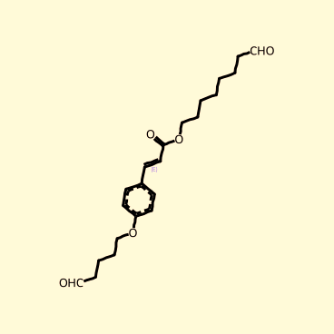 O=CCCCCCCCOC(=O)/C=C/c1ccc(OCCCCC=O)cc1